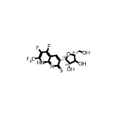 OC[C@H]1O[C@@H](c2cc3c(F)c(F)c(C(F)(F)F)[nH]c-3nc2=S)[C@@H](O)C1O